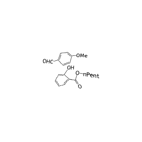 CCCCCOC(=O)c1ccccc1O.COc1ccc(C=O)cc1